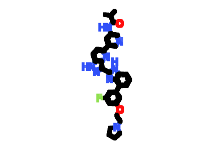 CC(C)C(=O)Nc1cncc(-c2ccc3[nH]nc(-c4nc5c(-c6cc(F)cc(OCCN7CCCC7)c6)cccc5[nH]4)c3n2)c1